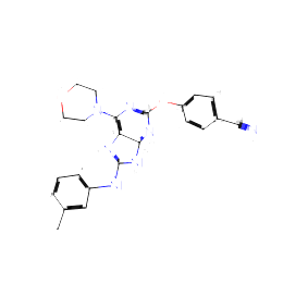 Cc1cccc(Nc2nc3c(N4CCOCC4)nc(Oc4ccc(C#N)cc4)nc3[nH]2)c1